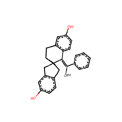 CO/C(=C1/c2ccc(O)cc2CCC12Cc1ccc(O)cc1C2)c1ccccc1